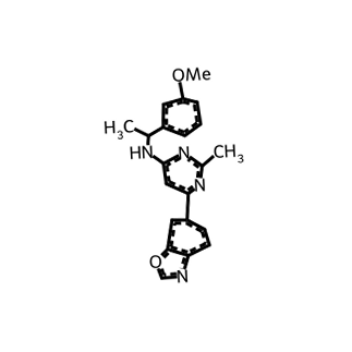 COc1cccc(C(C)Nc2cc(-c3ccc4ncoc4c3)nc(C)n2)c1